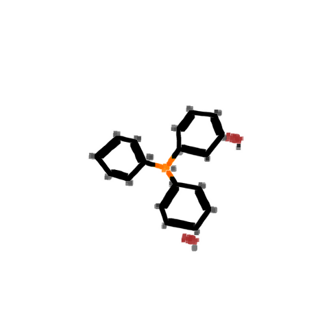 Br.Br.c1ccc(P(c2ccccc2)c2ccccc2)cc1